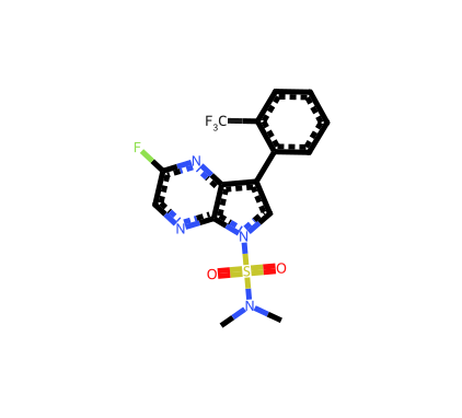 CN(C)S(=O)(=O)n1cc(-c2ccccc2C(F)(F)F)c2nc(F)cnc21